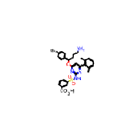 Cc1cccc(C)c1-c1cc(OC(CCCN)c2ccc(C(C)(C)C)cc2)nc(NS(=O)(=O)c2cccc(C(=O)O)c2)n1